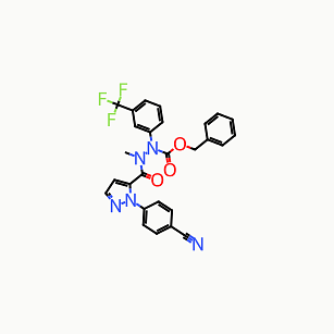 CN(C(=O)c1ccnn1-c1ccc(C#N)cc1)N(C(=O)OCc1ccccc1)c1cccc(C(F)(F)F)c1